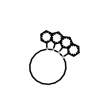 c1ccc(P2CCCCCCCCCCCCCCP(c3ccccc3)P(c3ccccc3)P2c2ccccc2)cc1